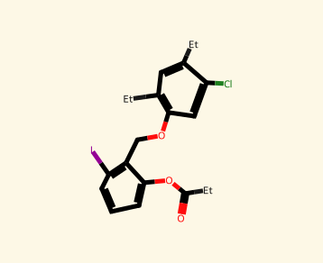 CCC(=O)Oc1cccc(I)c1COc1cc(Cl)c(CC)cc1CC